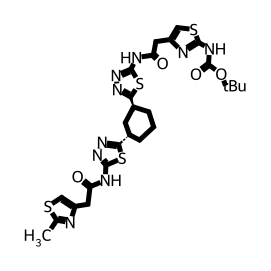 Cc1nc(CC(=O)Nc2nnc([C@H]3CCC[C@H](c4nnc(NC(=O)Cc5csc(NC(=O)OC(C)(C)C)n5)s4)C3)s2)cs1